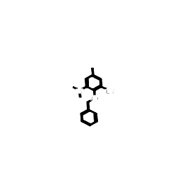 CB(C)c1cc(C)cc(Br)c1OCc1ccccc1